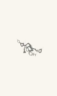 O=C1N(CC2CC2)C(c2ccc(Cl)cc2)CCC1(CCO)CCN1CCCC1